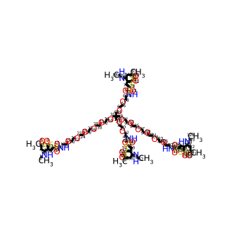 CCN[C@H]1C[C@H](C)S(=O)(=O)c2sc(S(=O)(=O)NCCOCCOCCOCCOCCOCCOCC(COCCOCCNS(=O)(=O)c3cc4c(s3)S(=O)(=O)[C@@H](C)C[C@@H]4NCC)(COCCOCCNS(=O)(=O)c3cc4c(s3)S(=O)(=O)[C@@H](C)C[C@@H]4NCC)COCCOCCOCCOCCOCCOCCNS(=O)(=O)c3cc4c(s3)S(=O)(=O)[C@@H](C)C[C@@H]4NCC)cc21